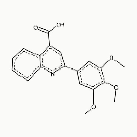 COc1cc(-c2cc(C(=O)O)c3ccccc3n2)cc(OC)c1OC